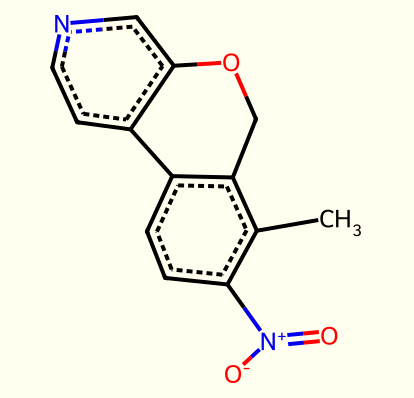 Cc1c([N+](=O)[O-])ccc2c1COc1cnccc1-2